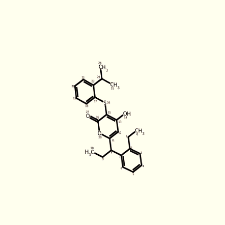 CCc1ccccc1C(CC)c1cc(O)c(Sc2ccccc2C(C)C)c(=O)o1